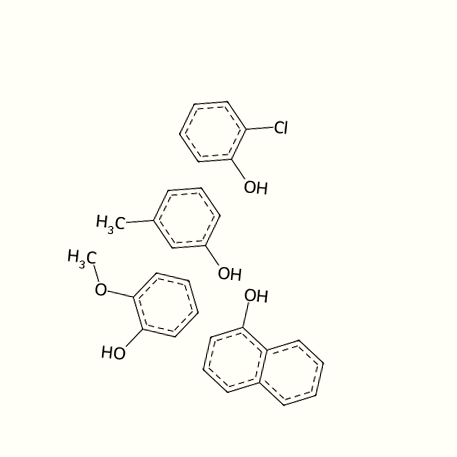 COc1ccccc1O.Cc1cccc(O)c1.Oc1cccc2ccccc12.Oc1ccccc1Cl